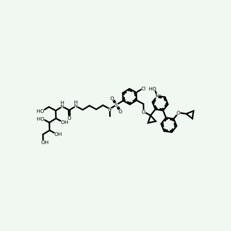 CN(CCCCNC(=O)NC(CO)C(O)C(O)C(O)CO)S(=O)(=O)c1ccc(Cl)c(COC2(c3c[n+](O)ccc3-c3ccccc3OC3CC3)CC2)c1